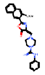 COc1cc2ccccc2cc1C1=NC(=CN2CCN(C(=N)Nc3ccccc3)CC2)C(=O)O1